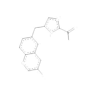 O=C(O)c1ncc(Cc2ccc3ncc(Cl)cc3c2)[nH]1